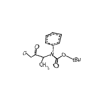 CC(C(=O)CCl)N(C(=O)OC(C)(C)C)c1ccccc1